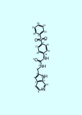 O=C(NCc1cc2ccncc2[nH]1)Nc1ccc(S(=O)(=O)c2ccccc2)cc1